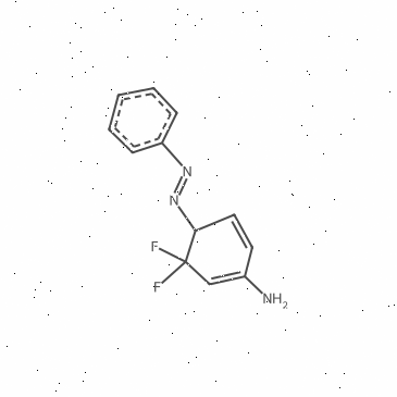 NC1=CC(F)(F)C(N=Nc2ccccc2)C=C1